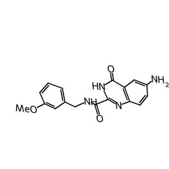 COc1cccc(CNC(=O)c2nc3ccc(N)cc3c(=O)[nH]2)c1